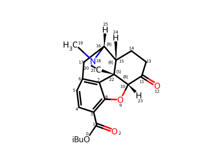 CC(C)COC(=O)c1ccc2c3c1O[C@H]1C(=O)CC[C@H]4[C@@H](C2)N(C)CC[C@]314